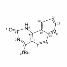 CC(C)(C)c1nc(=O)[nH]c2c1ccc1ncccc12